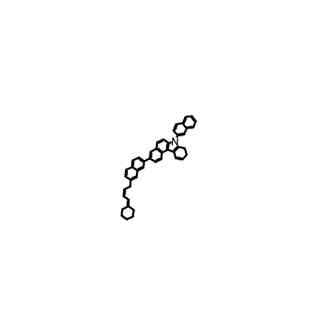 C1=Cc2c(n(-c3ccc4ccccc4c3)c3ccc4cc(-c5ccc6ccc(C/C=C\C=C7CCCCC7)cc6c5)ccc4c23)CC1